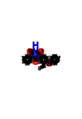 CCc1cc(-n2c(=O)[nH]c(=O)n(-c3ccccc3)c2=O)ccc1Oc1ccccc1